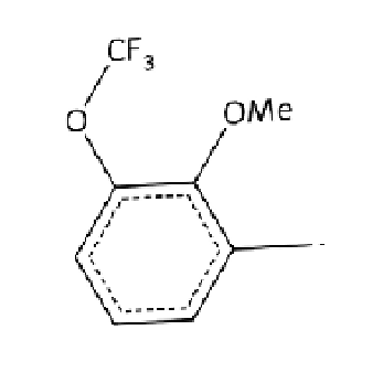 [CH2]c1cccc(OC(F)(F)F)c1OC